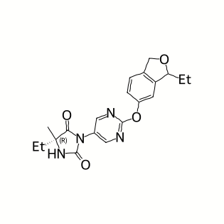 CCC1OCc2ccc(Oc3ncc(N4C(=O)N[C@](C)(CC)C4=O)cn3)cc21